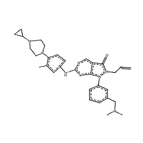 C=CCn1c(=O)c2cnc(Nc3ccc(N4CCN(C5CC5)CC4)c(C)c3)nc2n1-c1cccc(CN(C)C)c1